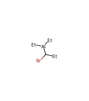 CC[CH](Br)[Al]([CH2]C)[CH2]C